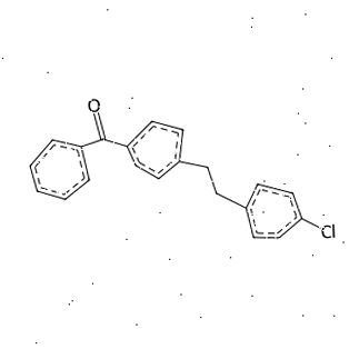 O=C(c1ccccc1)c1ccc(CCc2ccc(Cl)cc2)cc1